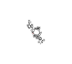 NC(=O)c1cc([C@@H]2C[C@@H]3COP(=O)(S)O[C@@H]4C[C@@H](COP(=O)(S)O[C@H]32)O[C@H]4n2cnc3c(N)ncnc32)[nH]n1